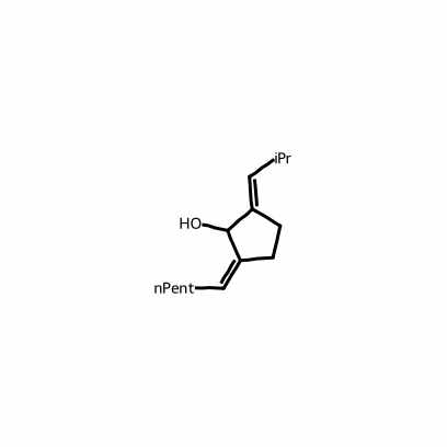 CCCCCC=C1CCC(=CC(C)C)C1O